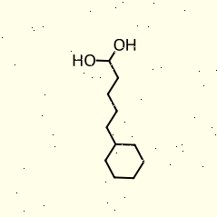 OC(O)CCCCC1CCCCC1